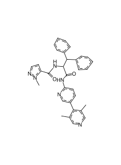 Cc1cncc(C)c1-c1ccc(NC(=O)C(NC(=O)c2ccnn2C)C(c2ccccc2)c2ccccc2)nc1